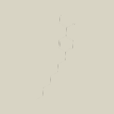 CCCCCCCCc1ccc(C(N)=NO)cc1